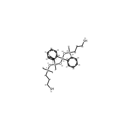 C=C[Si](C)(O[Si](C)(C)CCCS)O[Si](O[Si](C)(C)CCCS)(c1ccccc1)c1ccccc1